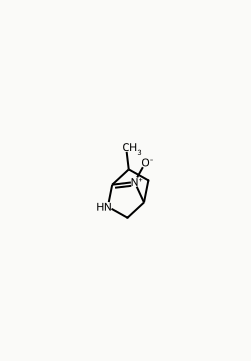 CC1CC2CNC1=[N+]2[O-]